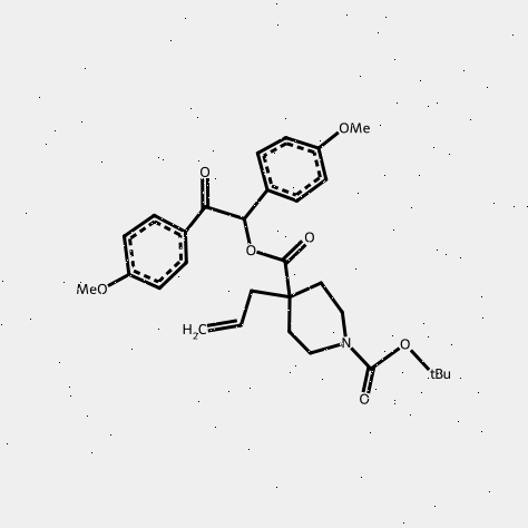 C=CCC1(C(=O)OC(C(=O)c2ccc(OC)cc2)c2ccc(OC)cc2)CCN(C(=O)OC(C)(C)C)CC1